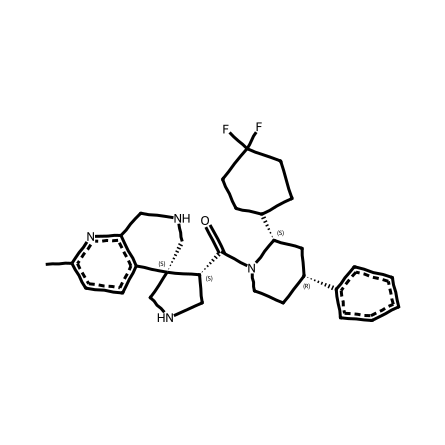 Cc1ccc2c(n1)CNC[C@]21CNC[C@H]1C(=O)N1CC[C@@H](c2ccccc2)C[C@H]1C1CCC(F)(F)CC1